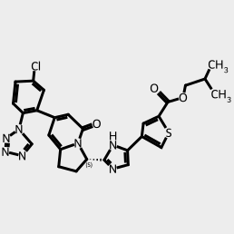 CC(C)COC(=O)c1cc(-c2cnc([C@@H]3CCc4cc(-c5cc(Cl)ccc5-n5cnnn5)cc(=O)n43)[nH]2)cs1